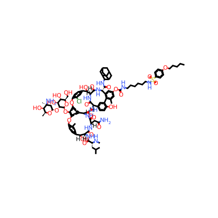 CCCCCOc1ccc(S(=O)(=O)NCCCCCCNC(=O)Oc2cc(C)c3c(c2)[C@@H](C(=O)NC2C4CC5CC(C4)CC2C5)NC(=O)[C@H]2NC(=O)[C@H](NC(=O)[C@@H]4NC(=O)[C@H](CC(N)=O)NC(=O)[C@H](NC(=O)[C@@H](CC(C)C)NC)[C@H](O)c5ccc(c(C)c5)Oc5cc4cc(c5O[C@@H]4O[C@H](CO)[C@@H](O)[C@H](O)[C@H]4O[C@H]4C[C@](C)(N)[C@H](O)[C@H](C)O4)Oc4ccc(cc4Cl)[C@H]2O)c2ccc(O)c-3c2)cc1